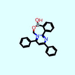 OB1OC[n+]2c(-c3ccccc3)cc(-c3ccccc3)nc2-c2ccccc21